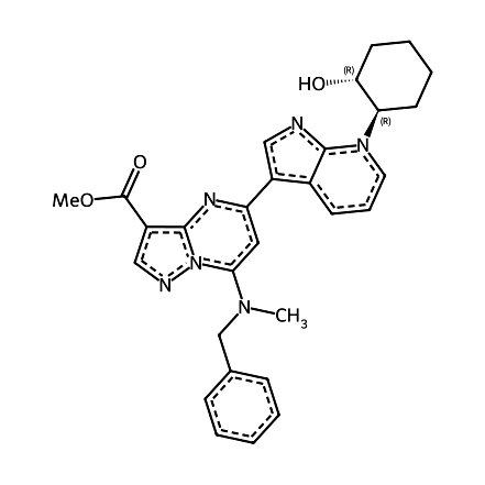 COC(=O)c1cnn2c(N(C)Cc3ccccc3)cc(-c3cnc4n([C@@H]5CCCC[C@H]5O)cccc3-4)nc12